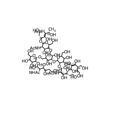 CC(=O)N/C(=C(\O)[C@@H](CCO)O[C@H](O)/C(O)=C(/O)[C@@H](CO)CCO)[C@@H](O)OC1C(OC2C(O)[C@H](O[C@@H]3C(CO)O[C@@H](O[C@H](CCO)/C(O)=C(\NC(C)=O)[C@H](C)O)C(NC(C)=O)C3O)OC(CO[C@H]3OC(CO)[C@@H](O)C(O)C3OC(O)C(NC(C)=O)C(O)[C@H](O)CCO)[C@H]2O)OC(CO)C(O)C1O